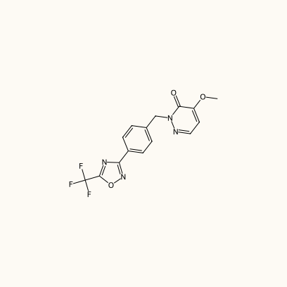 COc1ccnn(Cc2ccc(-c3noc(C(F)(F)F)n3)cc2)c1=O